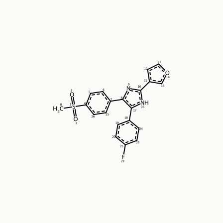 CS(=O)(=O)c1ccc(-c2nc(-c3ccoc3)[nH]c2-c2ccc(F)cc2)cc1